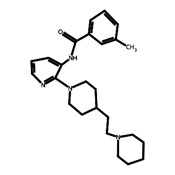 Cc1cccc(C(=O)Nc2cccnc2N2CCC(CCN3CCCCC3)CC2)c1